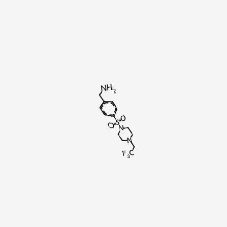 NCc1ccc(S(=O)(=O)N2CCN(CC(F)(F)F)CC2)cc1